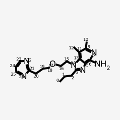 CCCc1nc2c(N)nc(C)c(C)c2n1CCOCCCc1ncccn1